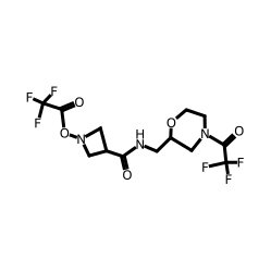 O=C(NCC1CN(C(=O)C(F)(F)F)CCO1)C1CN(OC(=O)C(F)(F)F)C1